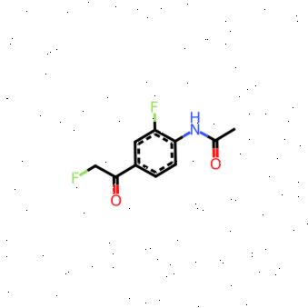 CC(=O)Nc1ccc(C(=O)CF)cc1F